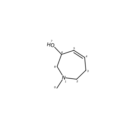 CN1CCC=CC(O)C1